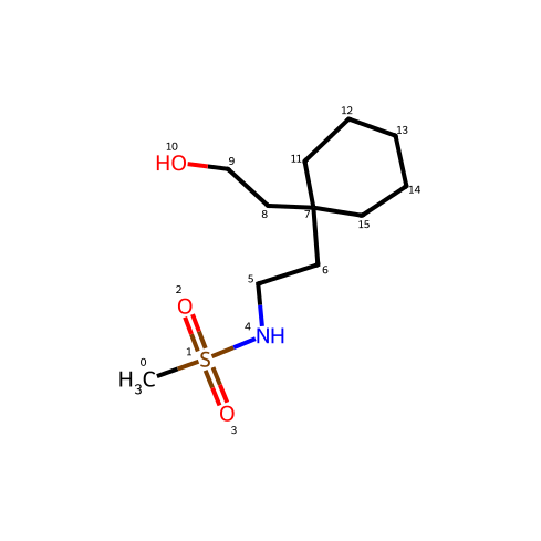 CS(=O)(=O)NCCC1(CCO)CCCCC1